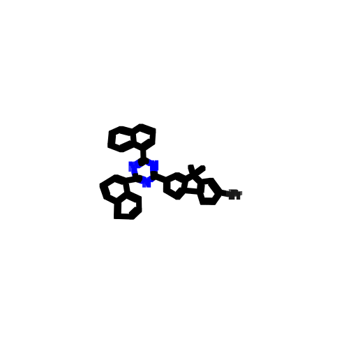 CC(C)c1ccc2c(c1)C(C)(C)c1cc(-c3nc(-c4cccc5ccccc45)nc(-c4cccc5ccccc45)n3)ccc1-2